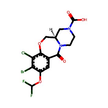 O=C(O)N1CCN2C(=O)c3cc(OC(F)F)c(Br)c(Cl)c3OC[C@H]2C1